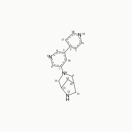 c1cc(-c2cncc(N3CC4CNC(C4)C3)c2)ccn1